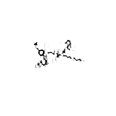 COCCC(=O)NCCCC[C@H](NC(=O)C[C@@H](CN)N1C(=O)C=CC1=O)C(=O)NCCC(=O)Nc1cc(COC(C)=O)ccc1O[C@@H]1O[C@H](C(=O)O)[C@@H](O)[C@H](O)[C@H]1O